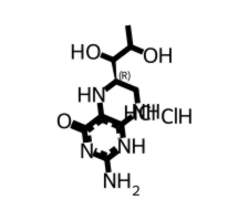 CC(O)C(O)[C@H]1CNc2[nH]c(N)nc(=O)c2N1.Cl.Cl